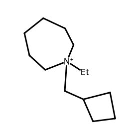 CC[N+]1(CC2CCC2)CCCCCC1